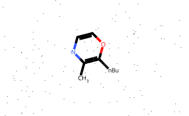 CCCCC1=C(C)[N]C=CO1